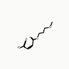 COCCCOC(=O)/C=C\C(=O)O